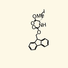 COC(=O)[C@H](CCI)NC(=O)OCC1c2ccccc2-c2ccccc21